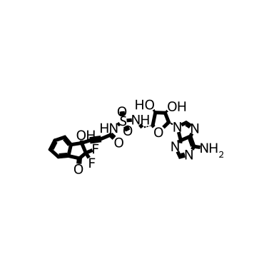 Nc1ncnc2c1ncn2[C@@H]1O[C@H](CNS(=O)(=O)NC(=O)C#CC2(O)c3ccccc3C(=O)C2(F)F)[C@@H](O)[C@H]1O